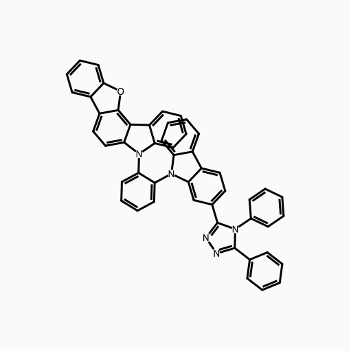 c1ccc(-c2nnc(-c3ccc4c5ccccc5n(-c5ccccc5-n5c6ccccc6c6c7oc8ccccc8c7ccc65)c4c3)n2-c2ccccc2)cc1